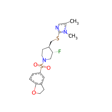 Cc1cnc(SC[C@@H]2CCN(S(=O)(=O)c3ccc4c(c3)CCO4)C[C@H]2F)n1C